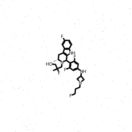 C[C@@H]1Cc2c([nH]c3ccc(F)cc23)C(c2c(F)cc(NC3CN(CCCF)C3)cc2F)N1CC(C)(F)CO